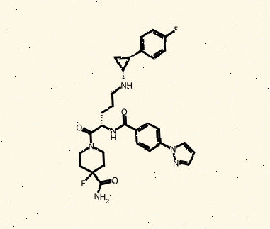 NC(=O)C1(F)CCN(C(=O)[C@H](CCCN[C@@H]2C[C@H]2c2ccc(F)cc2)NC(=O)c2ccc(-n3cccn3)cc2)CC1